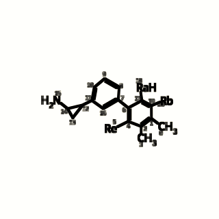 Cc1c(C)[c]([Re])c(-c2cccc(C3CC3N)c2)[c]([RaH])[c]1[Rb]